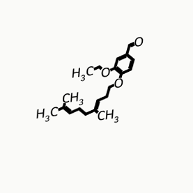 CCOc1cc(C=O)ccc1OCC/C=C(\C)CCC=C(C)C